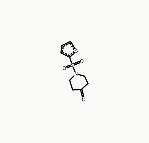 O=C1CCN(S(=O)(=O)c2cccs2)CC1